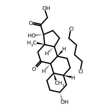 C[C@]12CC[C@@H](O)C[C@H]1CC[C@@H]1[C@@H]2C(=O)C[C@@]2(C)[C@H]1CC[C@]2(O)C(=O)CO.ClCCCCCl